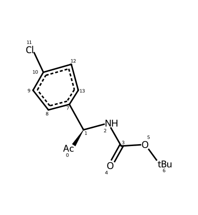 CC(=O)[C@H](NC(=O)OC(C)(C)C)c1ccc(Cl)cc1